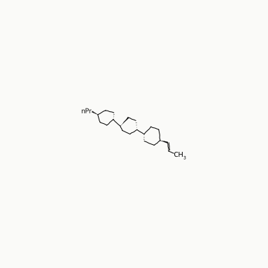 CC=C[C@H]1CC[C@H]([C@H]2CC[C@H]([C@H]3CC[C@H](CCC)CC3)CC2)CC1